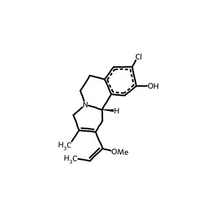 C/C=C(/OC)C1=C(C)CN2CCc3cc(Cl)c(O)cc3[C@@H]2C1